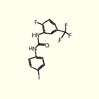 O=C(Nc1ccc(I)cc1)Nc1cc(C(F)(F)F)ccc1F